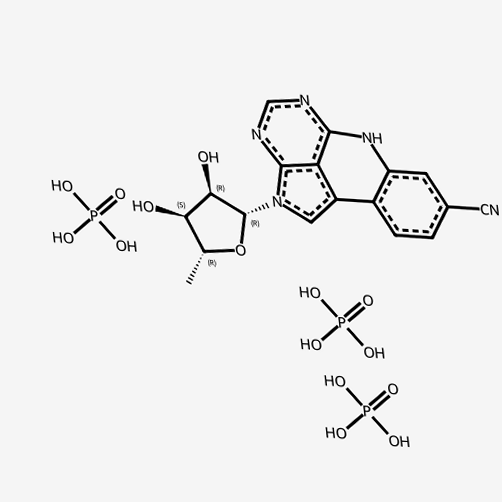 C[C@H]1O[C@@H](n2cc3c4c(ncnc42)Nc2cc(C#N)ccc2-3)[C@H](O)[C@@H]1O.O=P(O)(O)O.O=P(O)(O)O.O=P(O)(O)O